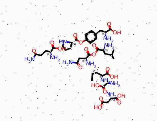 CC(C)C[C@H](N)C(=O)OC(=O)[C@@H](N)CC(N)=O.CC[C@H](C)[C@H](N)C(=O)O.NC(=O)CC[C@H](N)C(=O)O.NCC(=O)O.N[C@@H](CC(=O)O)C(=O)O.N[C@@H](Cc1ccc(OC(=O)[C@@H]2CCCN2)cc1)C(=O)O